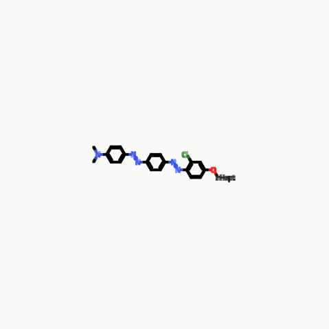 CCCCCCCOc1ccc(N=Nc2ccc(N=Nc3ccc(N(C)C)cc3)cc2)c(Cl)c1